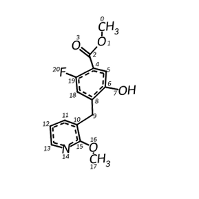 COC(=O)c1cc(O)c(Cc2cccnc2OC)cc1F